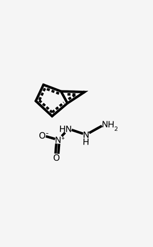 NNN[N+](=O)[O-].c1cc2cc-2c1